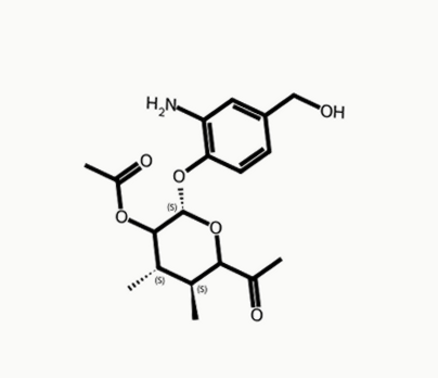 CC(=O)OC1[C@H](Oc2ccc(CO)cc2N)OC(C(C)=O)[C@@H](C)[C@@H]1C